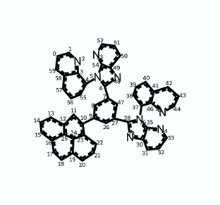 c1cnc2c(-n3c(-c4cc(-c5cc6cccc7ccc8cccc5c8c76)cc(-c5nc6cccnc6n5-c5cccc6cccnc56)c4)nc4cccnc43)cccc2c1